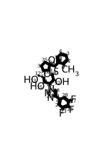 Cc1ccccc1[C@H](S[C@@H]1O[C@H](CO)[C@H](O)[C@H](n2cc(-c3cc(F)c(F)c(F)c3)nn2)[C@H]1O)C1(O)CCCC1